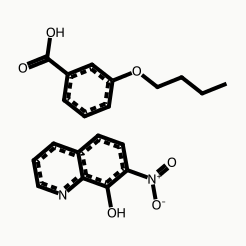 CCCCOc1cccc(C(=O)O)c1.O=[N+]([O-])c1ccc2cccnc2c1O